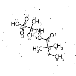 CCC(C)(C)C(=O)ONC(C)(C)S(=O)(=O)O